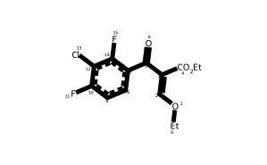 CCOC=C(C(=O)OCC)C(=O)c1ccc(F)c(Cl)c1F